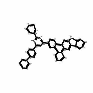 c1ccc(-c2ccc(-c3cc(-c4ccc5c(c4)c4ccccc4c4cc6c(cc54)oc4ccccc46)nc(-c4ccccc4)n3)cc2)cc1